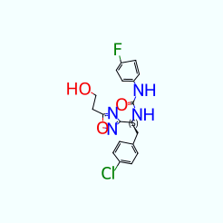 O=C(Nc1ccc(F)cc1)N[C@@H](Cc1ccc(Cl)cc1)c1noc(CCO)n1